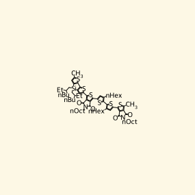 CCCCCCCCN1C(=O)c2c(C)sc(-c3cc(CCCCCC)c(-c4sc(-c5sc(-c6cc7c(s6)-c6sc(C)cc6[Si]7(CC(CC)CCCC)CC(CC)CCCC)c6c5C(=O)N(CCCCCCCC)C6=O)cc4CCCCCC)s3)c2C1=O